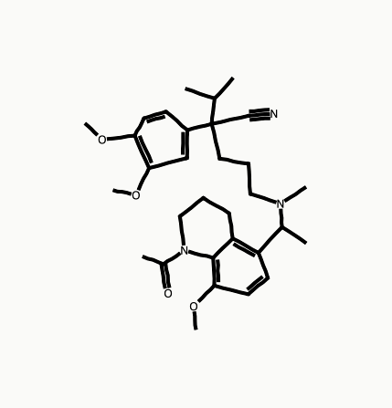 COc1ccc(C(C#N)(CCCN(C)C(C)c2ccc(OC)c3c2CCCN3C(C)=O)C(C)C)cc1OC